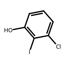 Oc1cccc(Cl)c1I